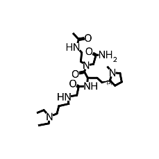 CCN(CC)CCCNCC(=O)NC(CC[C@@H]1CCCN1C)C(=O)N(CCNC(C)=O)CC(N)=O